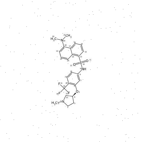 CN1CC[C@H](Oc2cc(NS(=O)(=O)c3cccc4c(N(C)C)cccc34)ccc2C(F)(F)F)C1